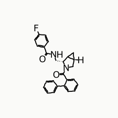 O=C(NC[C@@H]1C2C[C@@H]2CN1C(=O)c1ccccc1-c1ccccc1)c1ccc(F)cc1